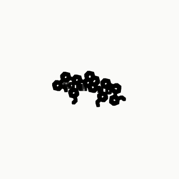 CCc1cccc(Nc2c(-c3cc4ccc(N(c5cccc(CC)c5)c5cccc6c5oc5c(-c7ccccc7CC)cccc56)c5ccc6cccc3c6c45)ccc(-c3cccc(-c4ccccc4CC)c3)c2O)c1